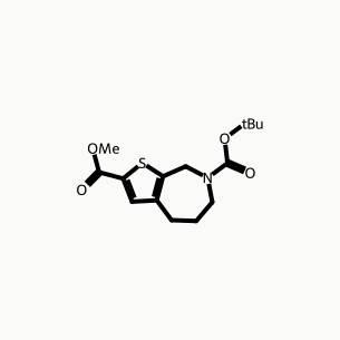 COC(=O)c1cc2c(s1)CN(C(=O)OC(C)(C)C)CCC2